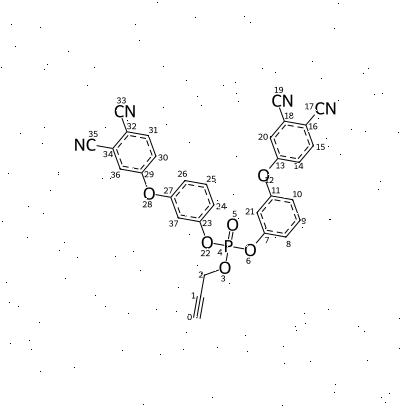 C#CCOP(=O)(Oc1cccc(Oc2ccc(C#N)c(C#N)c2)c1)Oc1cccc(Oc2ccc(C#N)c(C#N)c2)c1